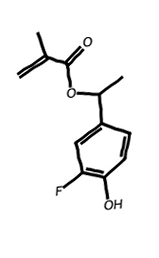 C=C(C)C(=O)OC(C)c1ccc(O)c(F)c1